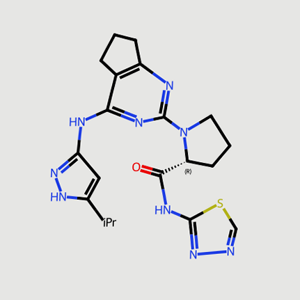 CC(C)c1cc(Nc2nc(N3CCC[C@@H]3C(=O)Nc3nncs3)nc3c2CCC3)n[nH]1